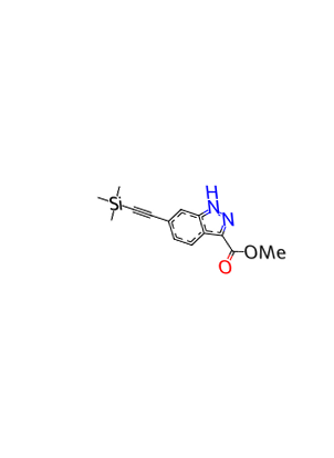 COC(=O)c1n[nH]c2cc(C#C[Si](C)(C)C)ccc12